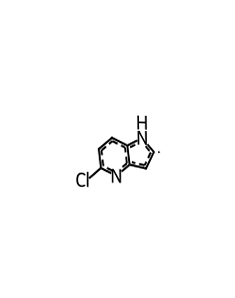 Clc1ccc2[nH][c]cc2n1